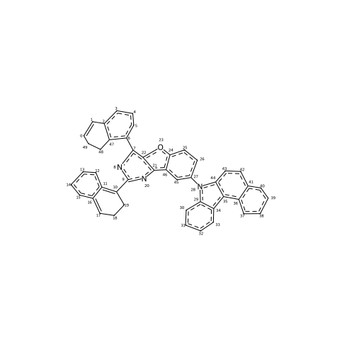 C1=Cc2cccc(-c3nc(C4=c5ccccc5=CCC4)nc4c3oc3ccc(-n5c6ccccc6c6c7ccccc7ccc65)cc34)c2CC1